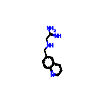 N=C(N)CNCc1ccc2ncccc2c1